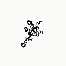 C=CCOC1O[C@H](C(O)C(C)=S)[C@@H](OC(=O)CCNC(=O)OCc2ccccc2)[C@H](OCc2ccccc2)[C@H]1OCc1ccccc1